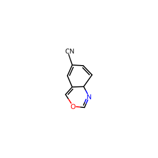 N#CC1=CC2=COC=NC2C=C1